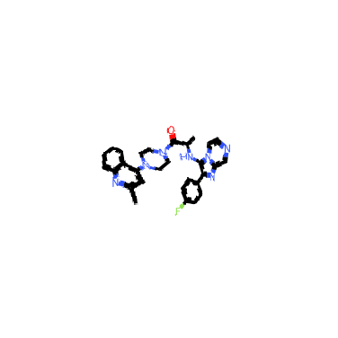 Cc1cc(N2CCN(C(=O)C(C)Nc3c(-c4ccc(F)cc4)nc4cnccn34)CC2)c2ccccc2n1